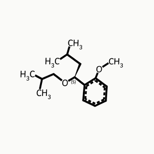 COc1ccccc1[C@H](CC(C)C)OCC(C)C